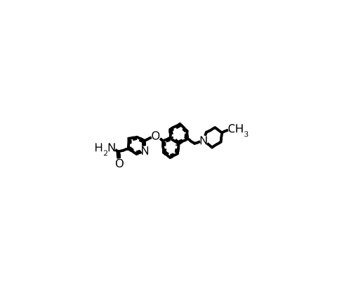 CC1CCN(Cc2cccc3c(Oc4ccc(C(N)=O)cn4)cccc23)CC1